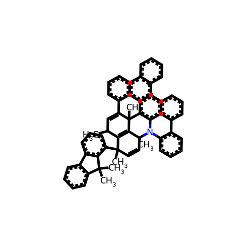 CC1C=C(c2ccccc2)C2(C)C3=C1C(C)(c1cccc4c1C(C)(C)c1ccccc1-4)C=CC3(C)N(c1ccccc1-c1cccc(-c3cccc4ccccc34)c1)c1ccccc12